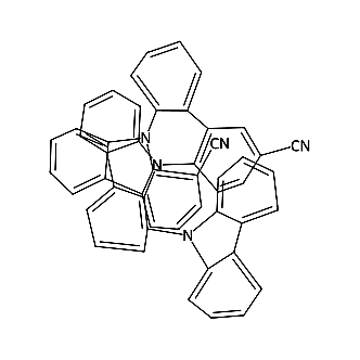 N#Cc1ccc(-n2c3ccccc3c3cccc(-n4c5ccccc5c5ccccc54)c32)c(-c2ccccc2-n2c3ccccc3c3cccc(C#N)c32)c1